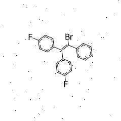 Fc1ccc(C(=C(Br)c2ccccc2)c2ccc(F)cc2)cc1